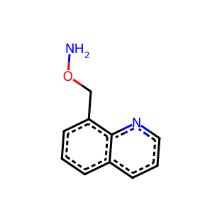 NOCc1cccc2cccnc12